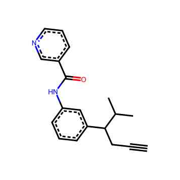 C#CCC(c1cccc(NC(=O)c2cccnc2)c1)C(C)C